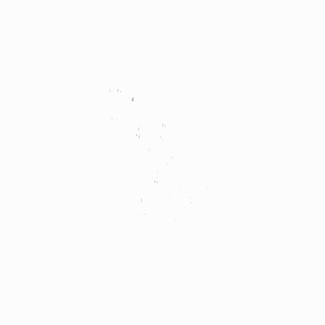 COc1cc(OC)cc(N(CC2CC2)c2ccc3ncc(C(O)NN)nc3c2)c1